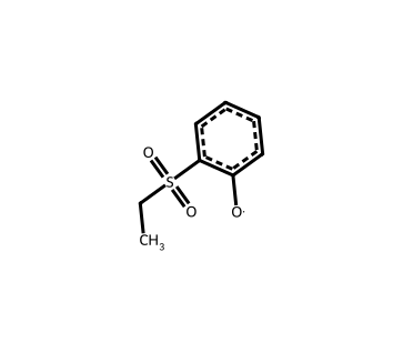 CCS(=O)(=O)c1ccccc1[O]